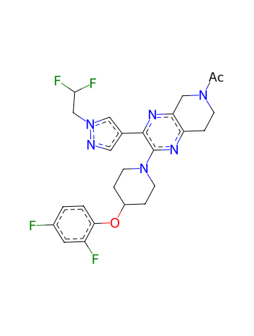 CC(=O)N1CCc2nc(N3CCC(Oc4ccc(F)cc4F)CC3)c(-c3cnn(CC(F)F)c3)nc2C1